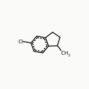 CC1CCc2cc(Cl)ccc21